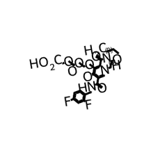 C[C@@H]1CCO[C@H]2Cn3cc(C(=O)NCc4ccc(F)cc4F)c(=O)c(OCOC(=O)OCC(=O)O)c3C(=O)N12